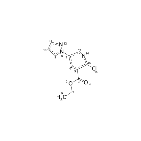 CCOC(=O)c1cc(-n2cccn2)cnc1Cl